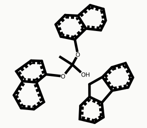 CC(O)(Oc1cccc2ccccc12)Oc1cccc2ccccc12.c1ccc2c(c1)Cc1ccccc1-2